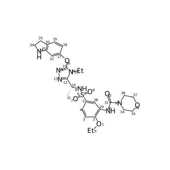 CCOc1ccc(S(=O)(=O)N[C@H](C)c2nnc(Oc3ccc4c(c3)NCC4)n2CC)cc1NC(=O)N1CCOCC1